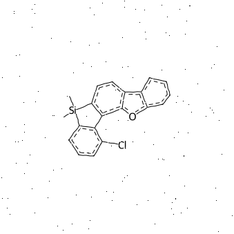 C[Si]1(C)c2cccc(Cl)c2-c2c1ccc1c2oc2ccccc21